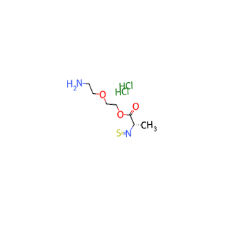 C[C@H](N=S)C(=O)OCCOCCN.Cl.Cl